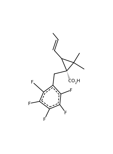 C/C=C/C1C(C)(C)[C@]1(Cc1c(F)c(F)c(F)c(F)c1F)C(=O)O